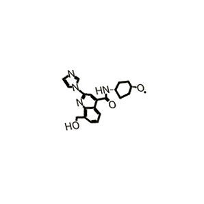 CO[C@H]1CC[C@H](NC(=O)c2cc(-n3ccnc3)nc3c(CO)cccc23)CC1